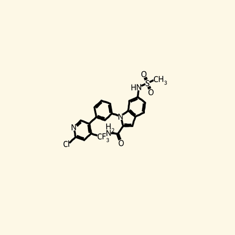 CS(=O)(=O)Nc1ccc2cc(C(N)=O)n(-c3cccc(-c4cnc(Cl)cc4C(F)(F)F)c3)c2c1